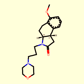 COc1cccc2c1CC[C@@H]1[C@H]2CC(=O)N1CCCN1CCOCC1